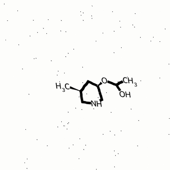 CC(O)O[C@H]1CNC[C@@H](C)C1